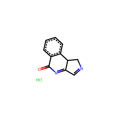 Cl.O=C1N=C2C=NCC2c2ccccc21